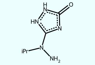 CC(C)N(N)c1nc(=O)[nH][nH]1